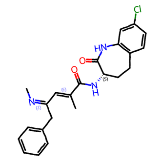 C/N=C(\C=C(/C)C(=O)N[C@H]1CCc2ccc(Cl)cc2NC1=O)Cc1ccccc1